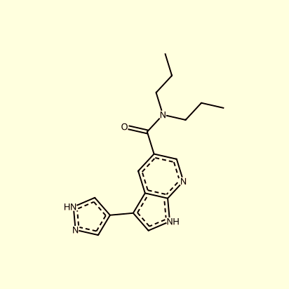 CCCN(CCC)C(=O)c1cnc2[nH]cc(-c3cn[nH]c3)c2c1